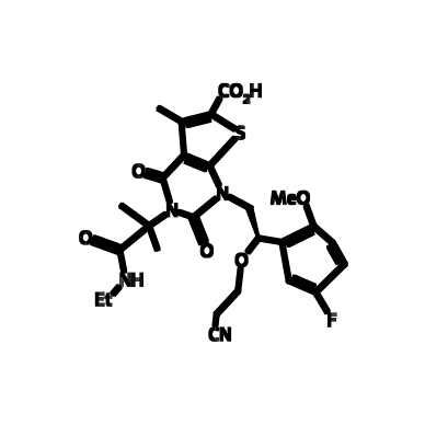 CCNC(=O)C(C)(C)n1c(=O)c2c(C)c(C(=O)O)sc2n(C[C@H](OCCC#N)c2cc(F)ccc2OC)c1=O